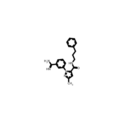 Cc1cc(C(=O)NCCCc2ccccc2)n(-c2cccc(C(=N)N)c2)n1